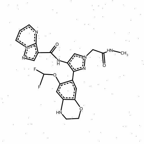 CNC(=O)Cn1cc(NC(=O)c2cnn3cccnc23)c(-c2cc3c(cc2OC(F)F)NCCO3)n1